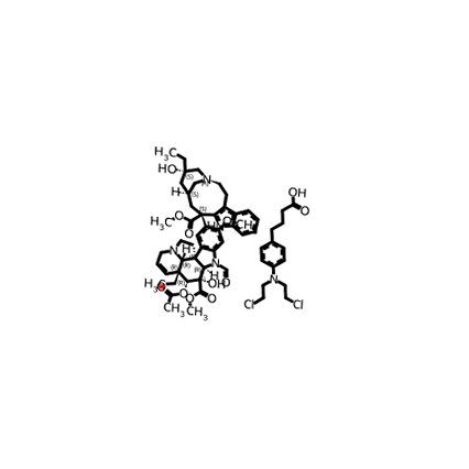 CC[C@]1(O)C[C@H]2C[N@](CCc3c([nH]c4ccccc34)[C@@](C(=O)OC)(c3cc4c(cc3OC)N(C=O)[C@H]3[C@@](O)(C(=O)OC)[C@H](OC(C)=O)[C@]5(CC)C=CCN6CC[C@]43[C@@H]65)C2)C1.O=C(O)CCCc1ccc(N(CCCl)CCCl)cc1